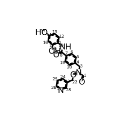 O=CN(Cc1ccc(C(=O)Nc2ccc(O)cc2O)cc1)OCc1cccnc1